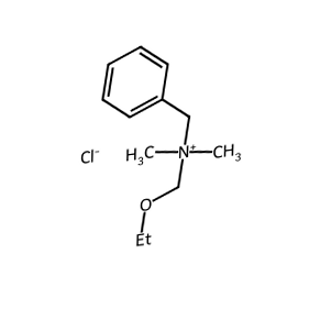 CCOC[N+](C)(C)Cc1ccccc1.[Cl-]